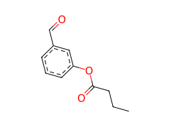 CCCC(=O)Oc1cccc(C=O)c1